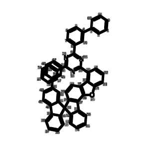 c1ccc(-c2cccc(-c3nc(-c4ccccc4)nc(-c4cccc5oc6c7c(ccc6c45)C4(c5ccccc5-c5ccc(-c6ccccc6)cc54)c4ccccc4-7)n3)c2)cc1